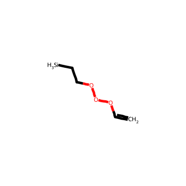 C=COOOCC[SiH3]